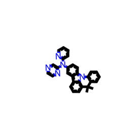 CC1(C)c2ccccc2-n2c3ccc(N(c4ccccn4)c4cnccn4)cc3c3cccc1c32